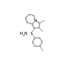 Cc1ccc(Sc2c(C)c(C)n3ccccc23)cc1.N